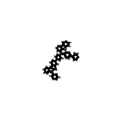 c1ccc(-c2ccc(N(c3ccc(-c4ccc5c(c4)sc4c5c5ccccc5n4-c4ccccc4)cc3)c3cccc4c3oc3ccccc34)cc2)cc1